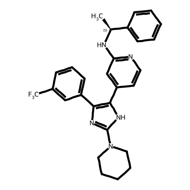 C[C@H](Nc1cc(-c2[nH]c(N3CCCCC3)nc2-c2cccc(C(F)(F)F)c2)ccn1)c1ccccc1